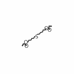 C=CC(=O)OCCCCCCSCCCCCCOC(=O)C=C